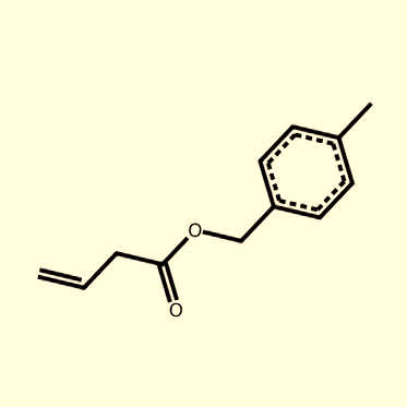 C=CCC(=O)OCc1ccc(C)cc1